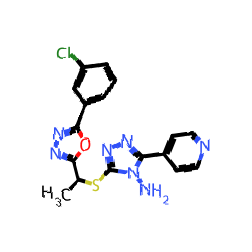 CC(Sc1nnc(-c2ccncc2)n1N)c1nnc(-c2cccc(Cl)c2)o1